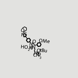 COc1cccc(C(C(=O)Nc2ccc(-c3cnn(C4CCCCO4)c3)cc2)N(CCN(C)C(=O)OC(C)(C)C)C(=O)O)c1